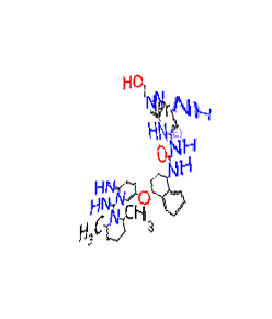 CC(C)C(=N)/C=C(/NC(=O)NC1CCC(Oc2ccc(=N)n(C(=N)N3C(C)CCCC3C)c2)c2ccccc21)Nc1cnn(CCO)c1